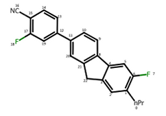 CCCc1cc2c(cc1F)-c1ccc(-c3ccc(C#N)c(F)c3)cc1C2